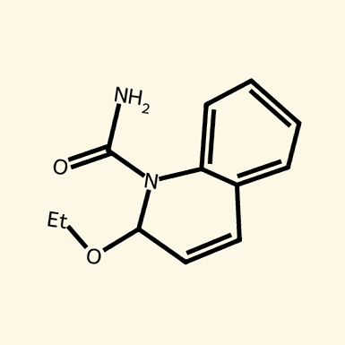 CCOC1C=Cc2ccccc2N1C(N)=O